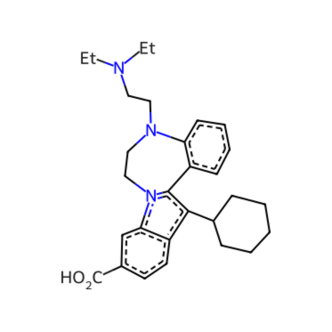 CCN(CC)CCN1CCn2c(c(C3CCCCC3)c3ccc(C(=O)O)cc32)-c2ccccc21